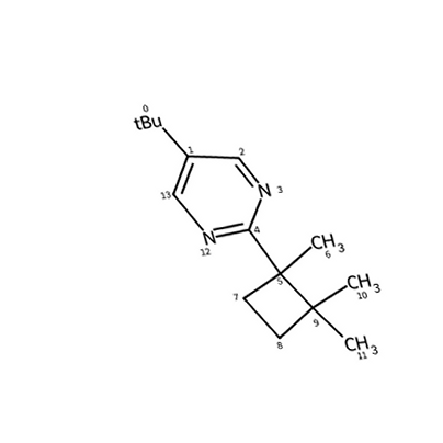 CC(C)(C)c1cnc(C2(C)CCC2(C)C)nc1